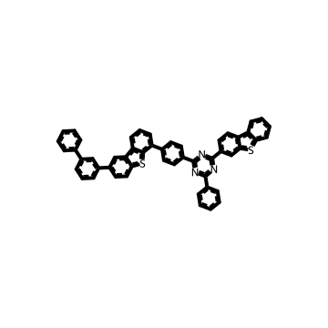 c1ccc(-c2cccc(-c3ccc4sc5c(-c6ccc(-c7nc(-c8ccccc8)nc(-c8ccc9c(c8)sc8ccccc89)n7)cc6)cccc5c4c3)c2)cc1